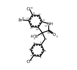 BC1(Cc2ccc(Cl)cc2)C(=O)Nc2cc(Cl)c(Br)cc21